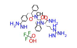 CN(C(=O)[C@H](Cc1ccc(C(=N)N)cc1)c1ccccc1)[C@@H](Cc1ccccc1)C(=O)N[C@@H](CCCNC(=N)N)C(N)=O.O=C(O)C(F)(F)F